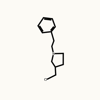 ClCC1CCN(CCc2ccccc2)C1